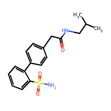 CC(C)CNC(=O)Cc1ccc(-c2ccccc2S(N)(=O)=O)cc1